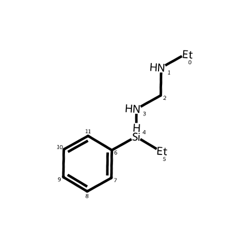 CCNCN[SiH](CC)c1ccccc1